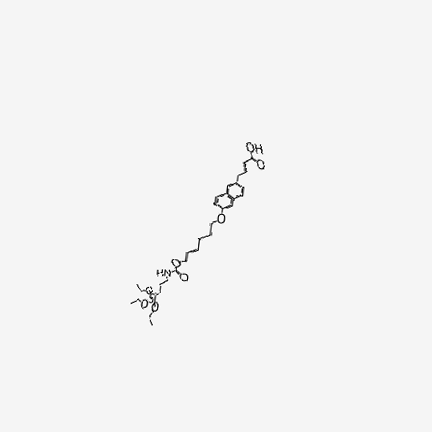 CCO[Si](CCCNC(=O)OCCCCCCOc1ccc2cc(CC=CC(=O)O)ccc2c1)(OCC)OCC